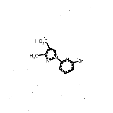 Cc1nn(-c2cccc(Br)n2)cc1C(=O)O